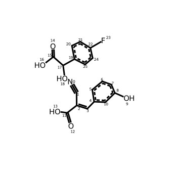 N#C/C(=C\c1cccc(O)c1)C(=O)O.O=C(O)C(O)c1ccc(F)cc1